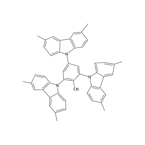 Cc1ccc2c(c1)c1cc(C)ccc1n2-c1cc(-n2c3ccc(C)cc3c3cc(C)ccc32)c(C#N)c(-n2c3ccc(C)cc3c3cc(C)ccc32)c1